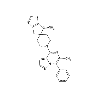 Cc1nc(N2CCC3(CC2)Cc2ncsc2[C@H]3N)c2ccnn2c1-c1ccccc1